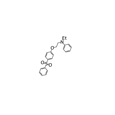 CCN(CCOc1ccc(S(=O)(=O)c2ccccc2)cc1)c1ccccc1